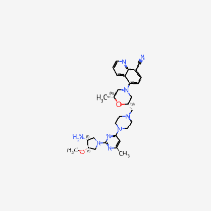 CO[C@H]1CN(c2nc(C)cc(N3CCN(C[C@H]4CN(c5ccc(C#N)c6ncccc56)C[C@@H](C)O4)CC3)n2)C[C@H]1N